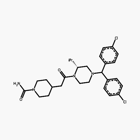 CC(C)[C@@H]1CN(C(c2ccc(Cl)cc2)c2ccc(Cl)cc2)CCN1C(=O)CC1CCN(C(N)=O)CC1